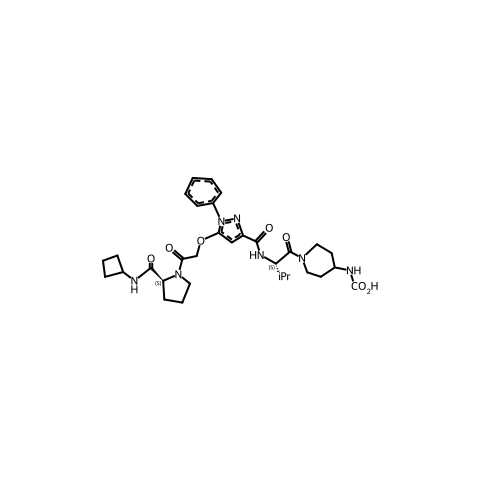 CC(C)[C@H](NC(=O)c1cc(OCC(=O)N2CCC[C@H]2C(=O)NC2CCC2)n(-c2ccccc2)n1)C(=O)N1CCC(NC(=O)O)CC1